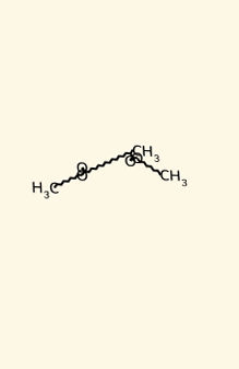 CCCCCCCCOC(=O)CCCCCCCCCCCCC(CC)C(=O)OCCCCCCCC